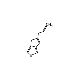 C=CCC1=Cc2cscc2C1